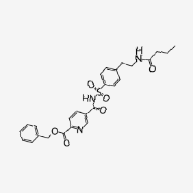 CCCC(=O)NCCc1ccc(S(=O)(=O)NC(=O)c2ccc(C(=O)OCc3ccccc3)nc2)cc1